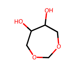 OC1COCOCC1O